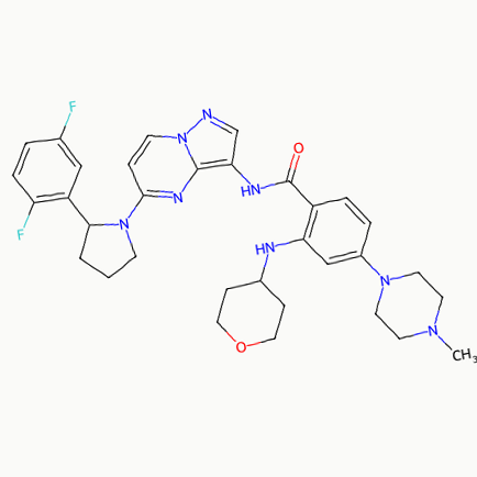 CN1CCN(c2ccc(C(=O)Nc3cnn4ccc(N5CCCC5c5cc(F)ccc5F)nc34)c(NC3CCOCC3)c2)CC1